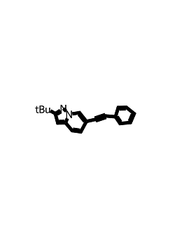 CC(C)(C)c1cc2ccc(C#Cc3ccccc3)cn2n1